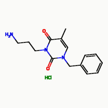 Cc1cn(Cc2ccccc2)c(=O)n(CCCN)c1=O.Cl